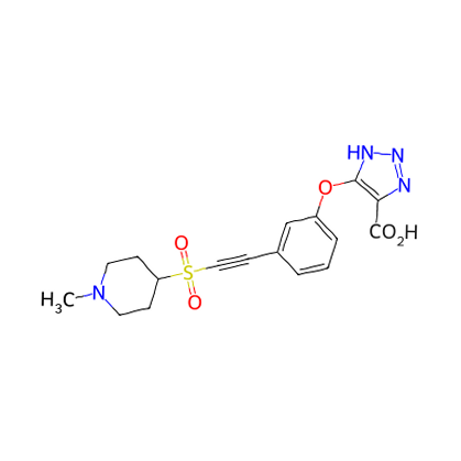 CN1CCC(S(=O)(=O)C#Cc2cccc(Oc3[nH]nnc3C(=O)O)c2)CC1